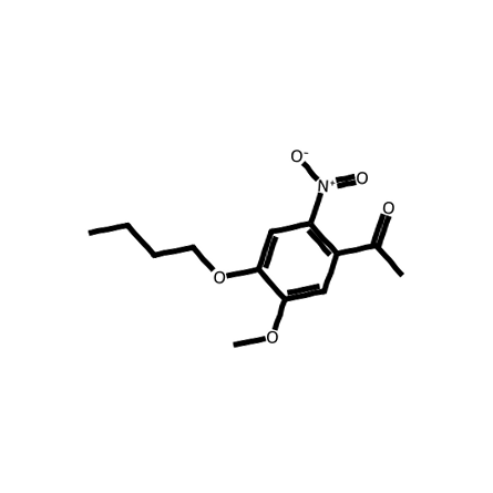 CCCCOc1cc([N+](=O)[O-])c(C(C)=O)cc1OC